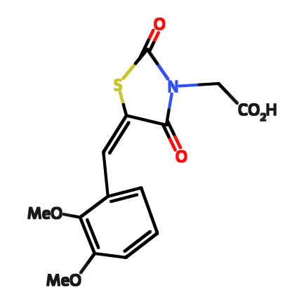 COc1cccc(C=C2SC(=O)N(CC(=O)O)C2=O)c1OC